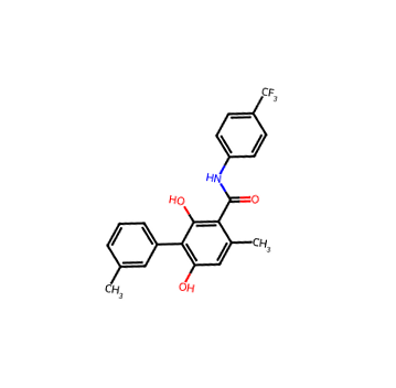 Cc1cccc(-c2c(O)cc(C)c(C(=O)Nc3ccc(C(F)(F)F)cc3)c2O)c1